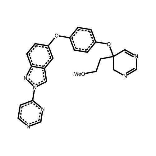 COCCC1(Oc2ccc(Oc3ccc4nn(-c5ccncn5)cc4c3)cc2)C=NC=NC1